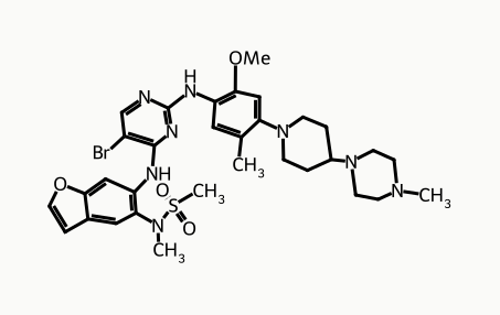 COc1cc(N2CCC(N3CCN(C)CC3)CC2)c(C)cc1Nc1ncc(Br)c(Nc2cc3occc3cc2N(C)S(C)(=O)=O)n1